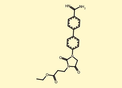 CCOC(=O)CCN1C(=O)CN(c2ccc(-c3ccc(C(=N)N)cc3)cc2)C1=O